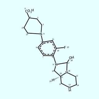 O=C(O)C1CCN(c2ccc(N3C[C@@H]4CNCCN4C3O)c(F)c2)CC1